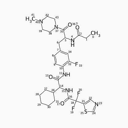 CCC(=O)NC(Cc1ccc(NC(=O)C(NC(=O)C(F)(F)c2cncs2)C2CCCCC2)c(F)c1)C(=O)N1CCN(C)CC1